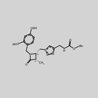 COc1ccc(CN2C(=O)[C@@H](C)[C@H]2Cn2cc(CNC(=O)OC(C)(C)C)nn2)c(OC)c1